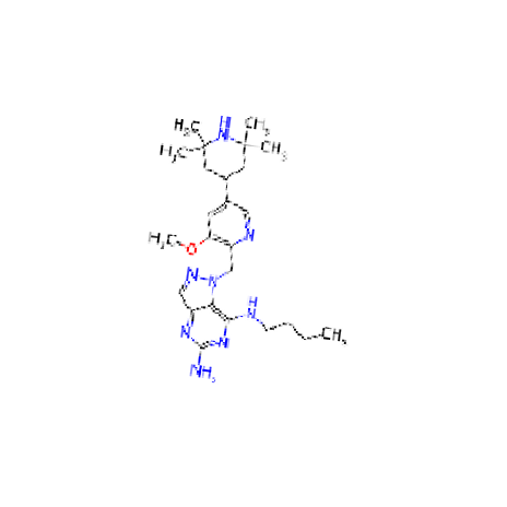 CCCCNc1nc(N)nc2cnn(Cc3ncc(C4CC(C)(C)NC(C)(C)C4)cc3OC)c12